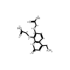 CCc1cc(=O)oc2c(OCC(=O)O)c(OCC(=O)O)ccc12